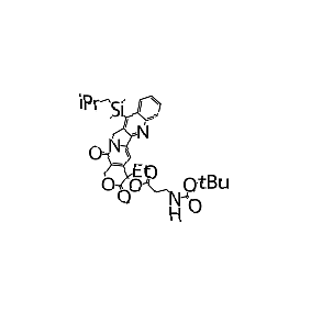 CCC1(OC(=O)CCNC(=O)OC(C)(C)C)C(=O)OCc2c1cc1n(c2=O)Cc2c-1nc1ccccc1c2[Si](C)(C)CC(C)C